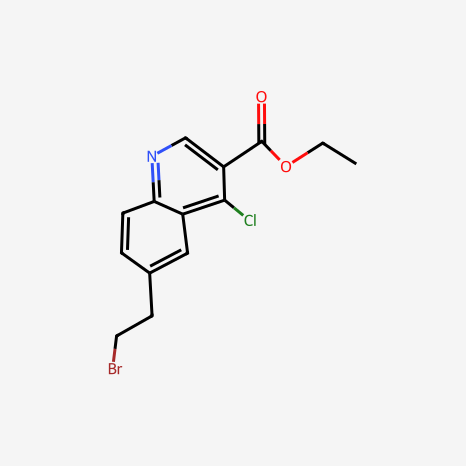 CCOC(=O)c1cnc2ccc(CCBr)cc2c1Cl